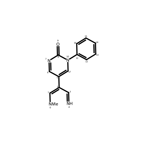 CN/C=C(\C=N)c1cnc(=O)n(-c2ccccc2)c1